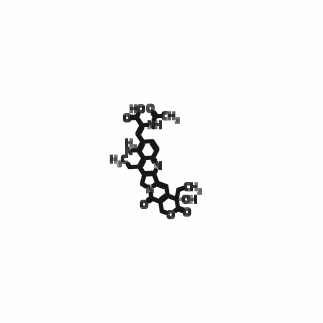 CCc1c2c(nc3ccc(C=C(NC(C)=O)C(=O)O)c(N)c13)-c1cc3c(c(=O)n1C2)COC(=O)[C@]3(O)CC